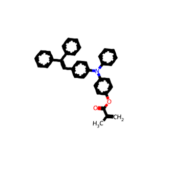 C=C(C)C(=O)Oc1ccc(N(c2ccccc2)c2ccc(C=C(c3ccccc3)c3ccccc3)cc2)cc1